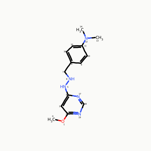 COc1cc(NNCc2ccc(N(C)C)cc2)ncn1